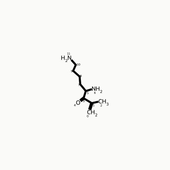 C=C(C)C(=O)C(N)CCCCN